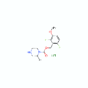 CCCOc1ccc(F)c(COC(=O)N2CCNCC2CC)c1F.Cl